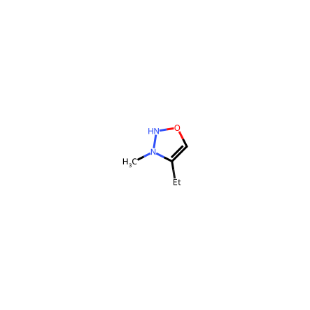 CCC1=CONN1C